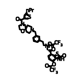 CCCc1cc(C(=O)N2CCOC3(CCN(Cc4cccc(CCNC[C@H](OC(=O)C(F)(F)F)c5ccc(OC(=O)C(F)(F)F)c6[nH]c(=O)sc56)c4)CC3)C2)cs1